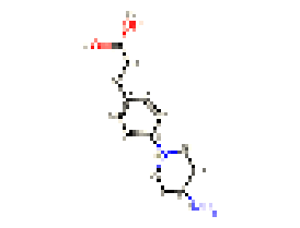 NC1CCN(c2ccc(CCC(=O)O)cc2)CC1